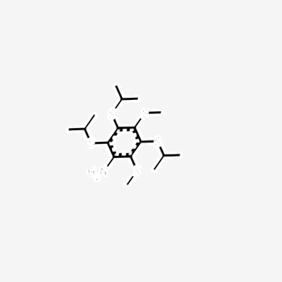 CSc1c(N)c(SC(C)C)c(SC(C)C)c(SC)c1SC(C)C